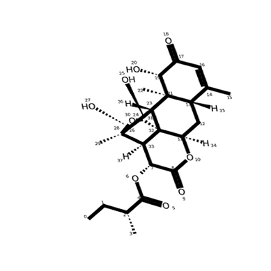 CC[C@@H](C)C(=O)O[C@H]1C(=O)O[C@@H]2C[C@H]3C(C)=CC(=O)[C@@H](O)[C@]3(C)[C@H]3[C@@H](O)[C@@H](O)[C@]4(C)OC[C@]32[C@@H]14